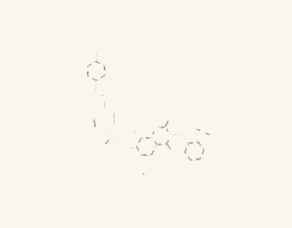 CCS(=O)(=O)c1ccc(Cl)cc1Cn1c(=O)[nH]c2c(Cl)c(CN3CC(CCNCc4ccc(OC)cc4OC)N(C(=O)O)C3=O)c(OC(F)(F)F)cc2c1=O